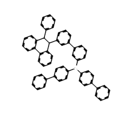 c1ccc(-c2ccc(N(c3ccc(-c4ccccc4)cc3)c3cccc(-c4cccc(C5c6ccccc6-c6ccccc6C5c5ccccc5)c4)c3)cc2)cc1